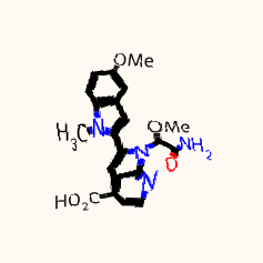 COc1ccc2c(c1)cc(-c1cc3c(C(=O)O)ccnc3n1C(OC)C(N)=O)n2C